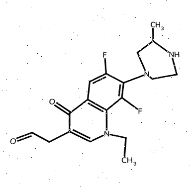 CCn1cc(CC=O)c(=O)c2cc(F)c(N3CCNC(C)C3)c(F)c21